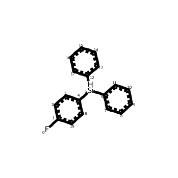 Fc1ccc([SiH](c2ccccc2)c2ccccc2)cc1